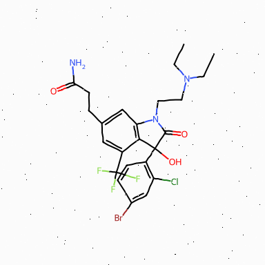 CCN(CC)CCN1C(=O)C(O)(c2ccc(Br)cc2Cl)c2c1cc(CCC(N)=O)cc2C(F)(F)F